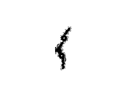 CCCCCOc1ccc(-c2nnc(OCCC[C@H]3CC[C@H](CCCCC)CC3)s2)cc1